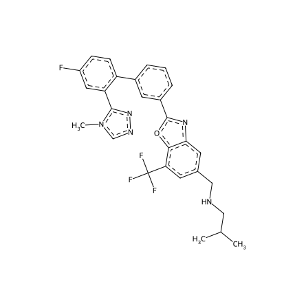 CC(C)CNCc1cc(C(F)(F)F)c2oc(-c3cccc(-c4ccc(F)cc4-c4nncn4C)c3)nc2c1